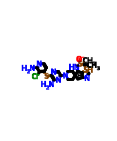 CC1(C)[S@@+]([O-])N[C@@H]2C3=C(CC24CCN(c2cnc(Sc5ccnc(N)c5Cl)c(N)n2)CC4)N=C[SH]31